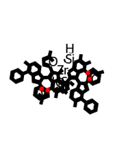 Cc1ccc(C2=Cc3c(ccc(C)c3-c3ccccc3)C2C2=C(c3ccc(C)o3)[CH]([Zr][CH]3C(c4ccc(C)o4)=C(C4C(c5ccc(C)o5)=Cc5c4ccc(C)c5-c4ccccc4)c4c(-c5ccccc5)c(C)c(C)c([SiH](C)C)c43)c3c2c(-c2ccccc2)c(C)c(C)c3[SiH](C)C)o1